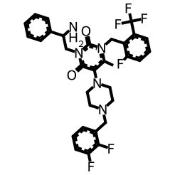 Cc1c(N2CCN(Cc3cccc(F)c3F)CC2)c(=O)n(CC(N)c2ccccc2)c(=O)n1Cc1c(F)cccc1C(F)(F)F